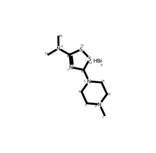 Br.CN1CCN(C2N=C(N(C)C)SS2)CC1